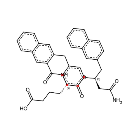 NC(=O)C[C@H](Cc1ccc2ccccc2c1)OC(=O)[C@H](CCCC(=O)O)NC(=O)c1cc2ccccc2cc1Cc1ccccc1